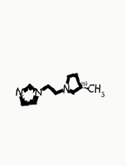 C[C@H]1CCN(CCn2ccnc2)C1